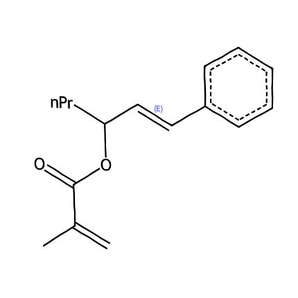 C=C(C)C(=O)OC(/C=C/c1ccccc1)CCC